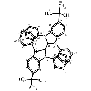 CC(C)(C)c1ccc2c(c1)N(c1cccnc1)C(C1N(c3cccnc3)c3ccc(C(C)(C)C)cc3N1c1cccnc1)N2c1cccnc1